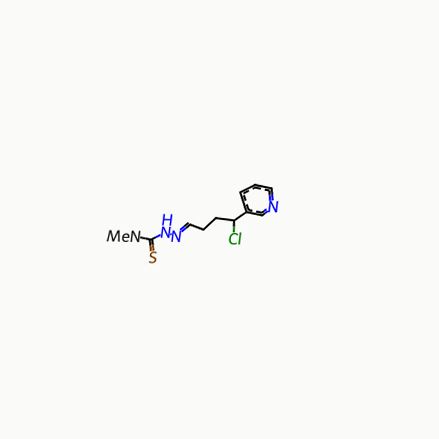 CNC(=S)NN=CCCC(Cl)c1cccnc1